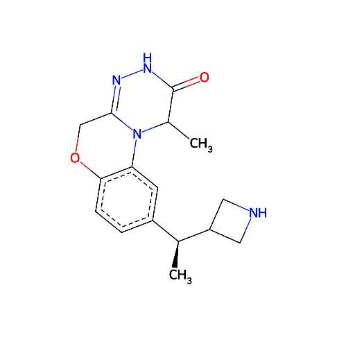 CC1C(=O)NN=C2COc3ccc([C@H](C)C4CNC4)cc3N21